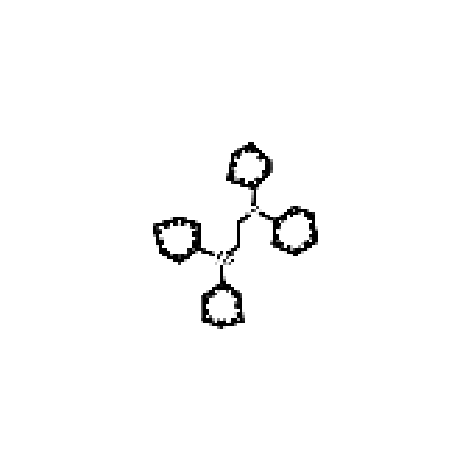 c1ccc(P(CC[As](c2ccccc2)c2ccccc2)c2ccccc2)cc1